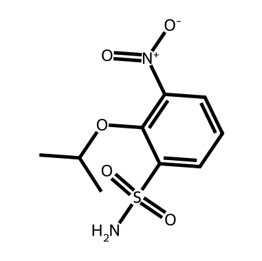 CC(C)Oc1c([N+](=O)[O-])cccc1S(N)(=O)=O